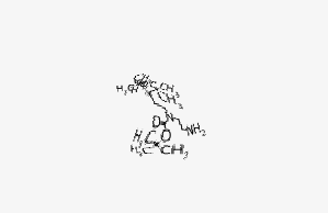 C[SiH](C)OC[C@@H](CCN(CCN)C(=O)OC(C)(C)C)C(C)(C)C